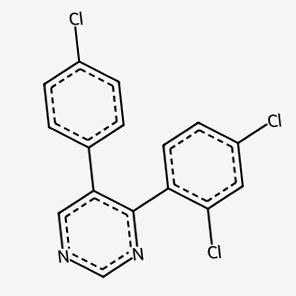 Clc1ccc(-c2cncnc2-c2ccc(Cl)cc2Cl)cc1